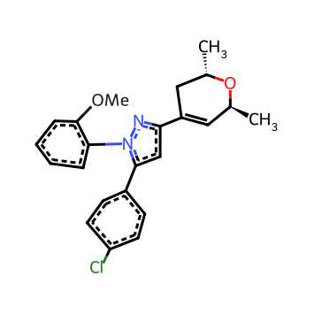 COc1ccccc1-n1nc(C2=C[C@H](C)O[C@@H](C)C2)cc1-c1ccc(Cl)cc1